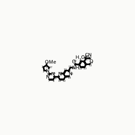 COC1CCN(c2nccc(-c3ccc4cnc(CNC(=O)c5ccc6c(c5)[C@](C)(C#N)COC6)cc4n3)n2)C1